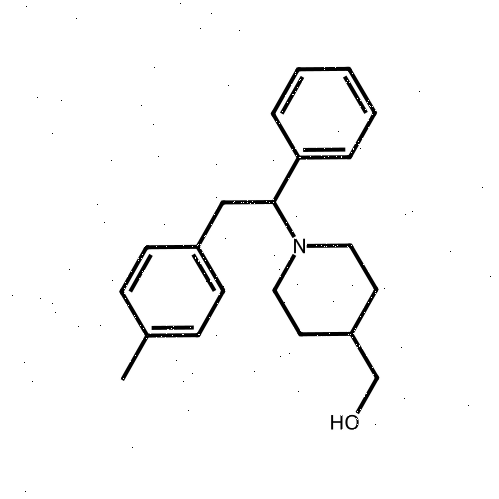 Cc1ccc(CC(c2ccccc2)N2CCC(CO)CC2)cc1